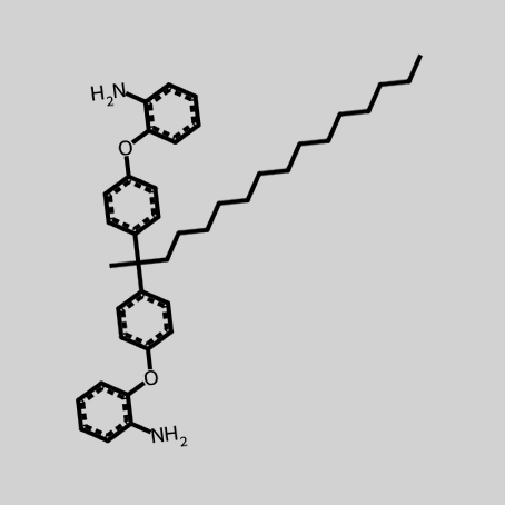 CCCCCCCCCCCCCCC(C)(c1ccc(Oc2ccccc2N)cc1)c1ccc(Oc2ccccc2N)cc1